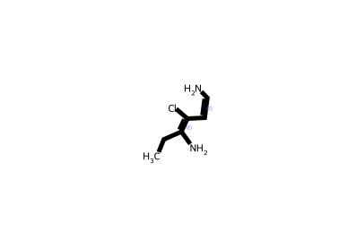 CC/C(N)=C(Cl)/C=C\N